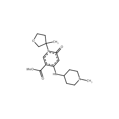 COC(=O)c1cn(C2(C)CCOC2)c(=O)cc1NC1CCN(C)CC1